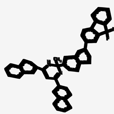 CC1(c2ccc3ccc(-c4ccc5c(c4)C(F)(F)c4ccccc4-5)cc3c2)N=C(c2ccc3ccccc3c2)C=C(c2ccc3ccccc3c2)N1